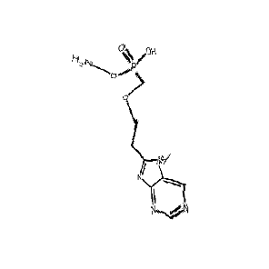 NOP(=O)(O)COCCc1nc2ncncc2[nH]1